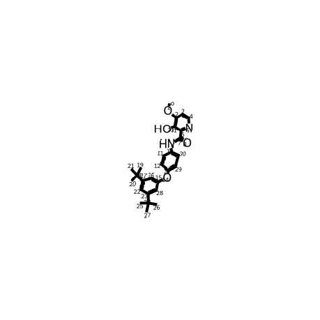 COc1ccnc(C(=O)Nc2ccc(Oc3cc(C(C)(C)C)cc(C(C)(C)C)c3)cc2)c1O